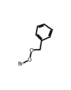 BrOOCc1ccccc1